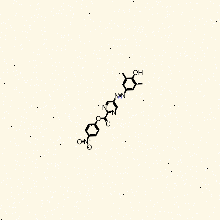 Cc1cc(/N=N/c2cnc(C(=O)Oc3ccc([N+](=O)[O-])cc3)nc2)cc(C)c1O